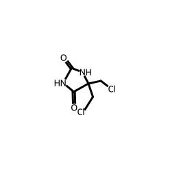 O=C1NC(=O)C(CCl)(CCl)N1